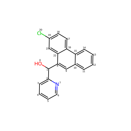 OC(c1ccccn1)c1cc2ccccc2c2ccc(Cl)cc12